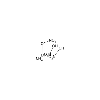 C.CCO[N+](=O)[O-].O=[N+]([O-])O.O=[N+]([O-])O